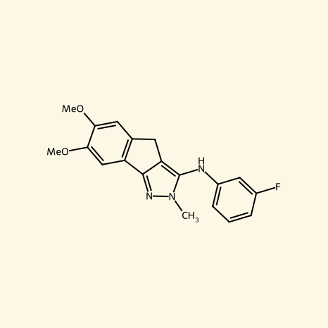 COc1cc2c(cc1OC)-c1nn(C)c(Nc3cccc(F)c3)c1C2